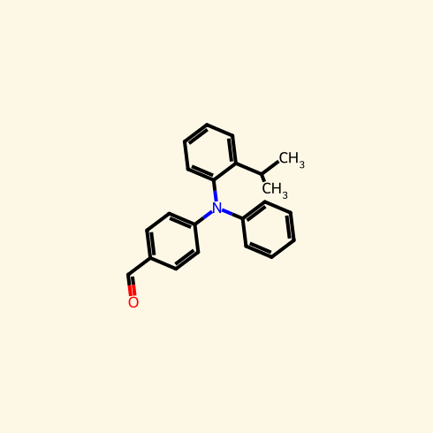 CC(C)c1ccccc1N(c1ccccc1)c1ccc(C=O)cc1